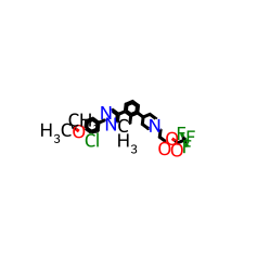 CCc1c(-c2cnc(-c3ccc(OC(C)C)c(Cl)c3)nc2)cccc1C1CCN(CCC(=O)OC(=O)C(F)(F)F)CC1